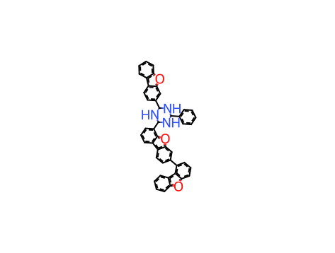 c1ccc(C2NC(c3ccc4c(c3)oc3ccccc34)NC(c3cccc4c3oc3cc(-c5cccc6oc7ccccc7c56)ccc34)N2)cc1